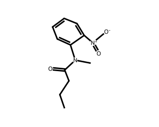 CCCC(=O)N(C)c1ccccc1[N+](=O)[O-]